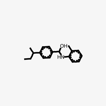 CCC(C)c1ccc(C(O)Nc2ccccc2C)cc1